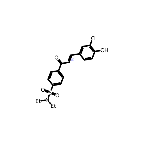 CCN(CC)S(=O)(=O)c1ccc(C(=O)/C=C/c2ccc(O)c(Cl)c2)cc1